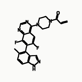 C=CC(=O)N1CCN(c2ncnc3c(F)c(-c4c(C)ccc5[nH]ncc45)c(F)cc23)CC1